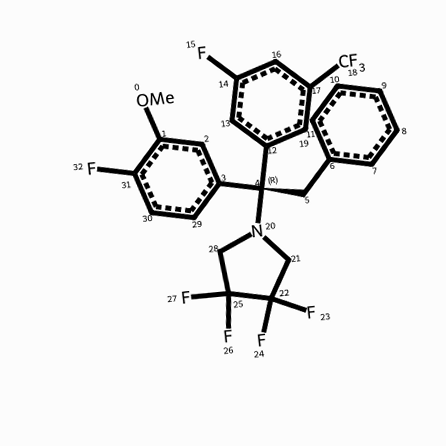 COc1cc([C@](Cc2ccccc2)(c2cc(F)cc(C(F)(F)F)c2)N2CC(F)(F)C(F)(F)C2)ccc1F